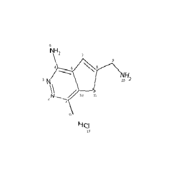 Cc1nnc(N)c2cc(CN)sc12.Cl